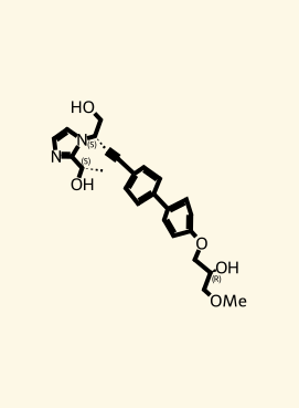 COC[C@@H](O)COc1ccc(-c2ccc(C#C[C@@H](CO)n3ccnc3[C@H](C)O)cc2)cc1